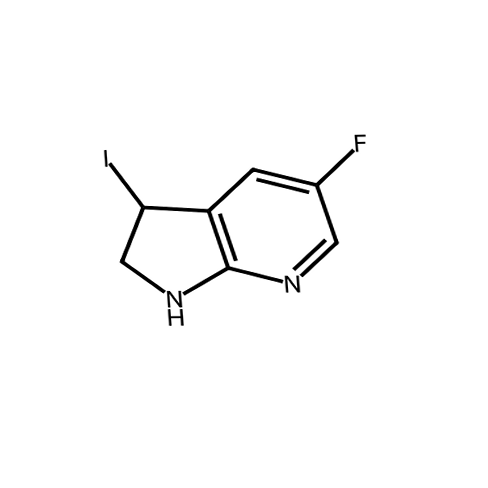 Fc1cnc2c(c1)C(I)CN2